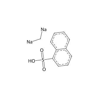 O=S(=O)(O)c1cccc2ccccc12.[Na][CH2][Na]